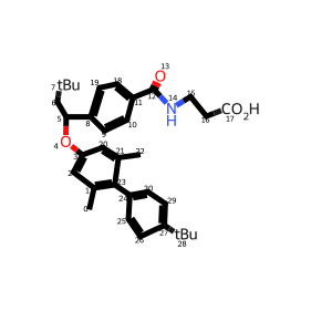 Cc1cc(OC(CC(C)(C)C)c2ccc(C(=O)NCCC(=O)O)cc2)cc(C)c1-c1ccc(C(C)(C)C)cc1